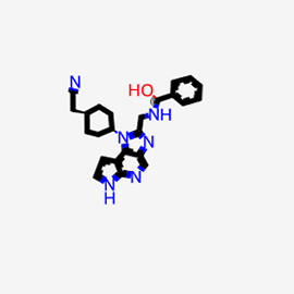 N#CC[C@H]1CC[C@H](n2c(CN[C@H](O)c3ccccc3)nc3cnc4[nH]ccc4c32)CC1